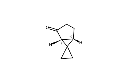 O=C1CC[C@H]2[C@@H]1C21CC1